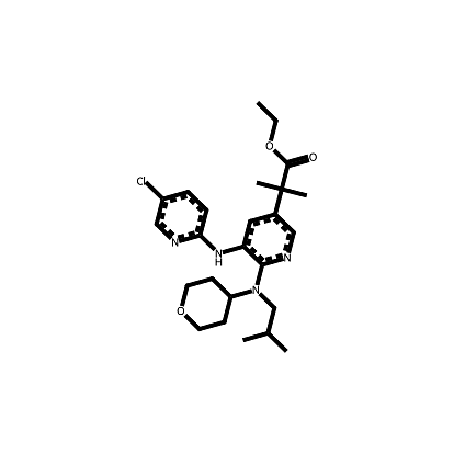 CCOC(=O)C(C)(C)c1cnc(N(CC(C)C)C2CCOCC2)c(Nc2ccc(Cl)cn2)c1